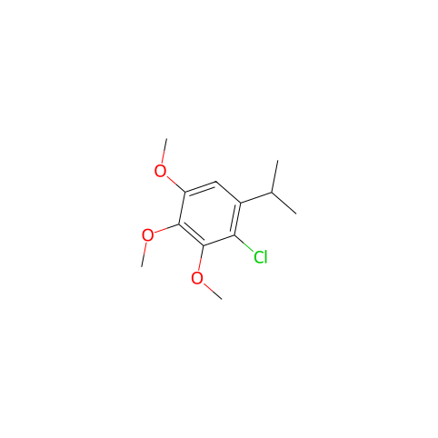 COc1cc(C(C)C)c(Cl)c(OC)c1OC